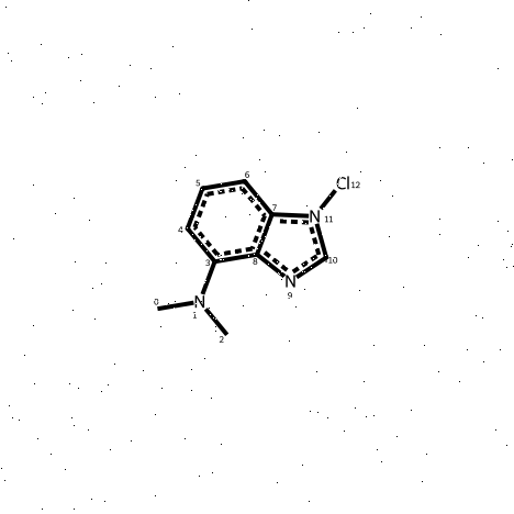 CN(C)c1cccc2c1n[c]n2Cl